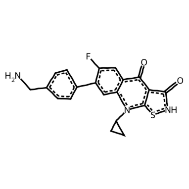 NCc1ccc(-c2cc3c(cc2F)c(=O)c2c(=O)[nH]sc2n3C2CC2)cc1